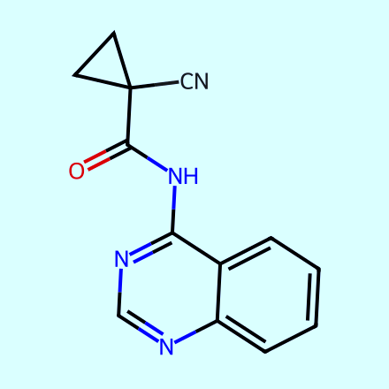 N#CC1(C(=O)Nc2ncnc3ccccc23)CC1